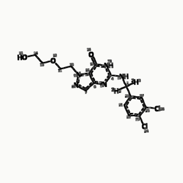 [2H]C([2H])(Nc1nc2cnn(CCOCCO)c2c(=O)[nH]1)c1ccc(Cl)c(Cl)c1